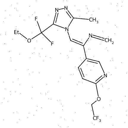 C=N/C(=C\n1c(C)nnc1C(F)(F)OCC)c1ccc(OCC(F)(F)F)nc1